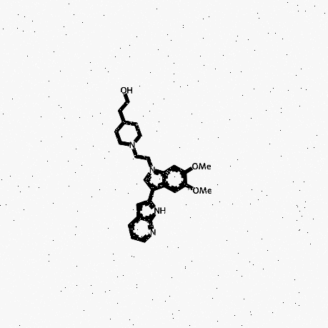 COc1cc2c(-c3cc4cccnc4[nH]3)cn(CCN3CCC(CCO)CC3)c2cc1OC